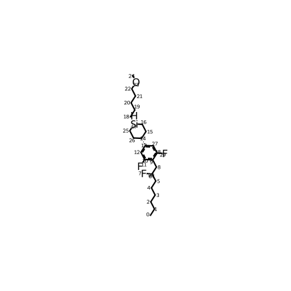 CCCCCC[C@@H](F)Cc1c(F)cc([C@H]2CC[Si@H](CCCCCOC)CC2)cc1F